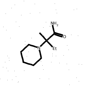 CCC(C)(C(N)=O)N1CCCCC1